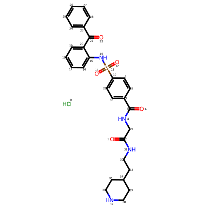 Cl.O=C(CNC(=O)c1ccc(S(=O)(=O)Nc2ccccc2C(=O)c2ccccc2)cc1)NCCC1CCNCC1